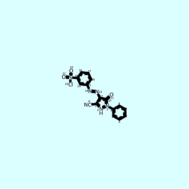 N#Cc1[nH]n(-c2ccccc2)c(=O)c1/N=N/c1cccc(S(=O)(=O)Cl)c1